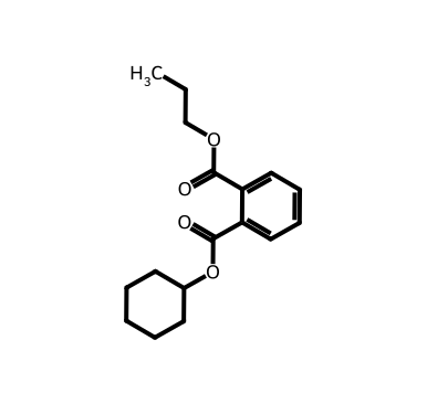 CCCOC(=O)c1ccccc1C(=O)OC1CCCCC1